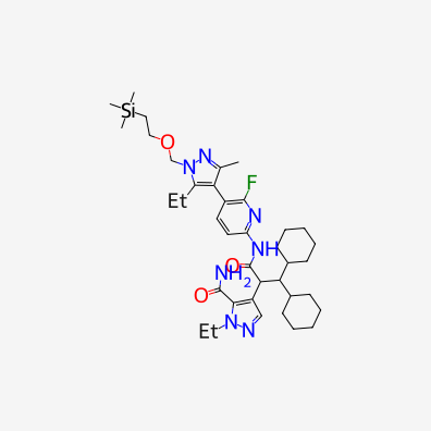 CCc1c(-c2ccc(NC(=O)C(c3cnn(CC)c3C(N)=O)C(C3CCCCC3)C3CCCCC3)nc2F)c(C)nn1COCC[Si](C)(C)C